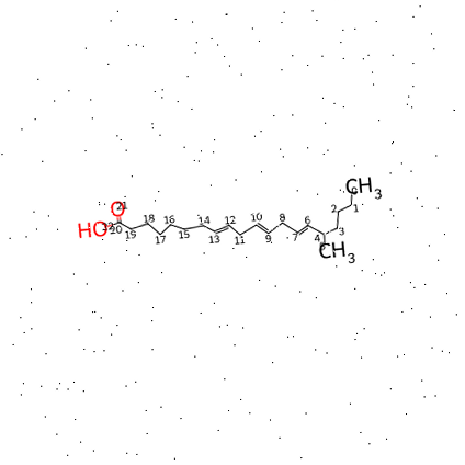 CCCCC(C)C=CCC=CCC=CCCCCCCC(=O)O